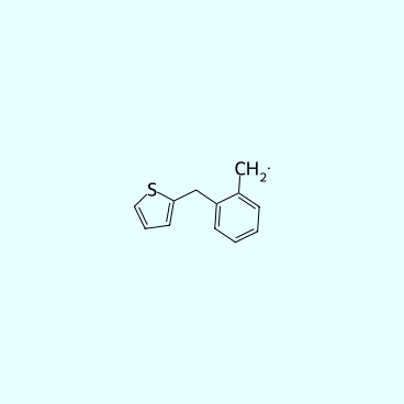 [CH2]c1ccccc1Cc1cccs1